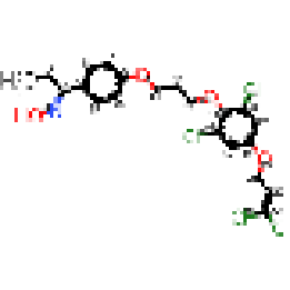 CCC(=NO)c1ccc(OCCCOc2c(Cl)cc(OCC=C(Cl)Cl)cc2Cl)cc1